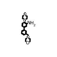 CN1CCN(c2ccc(-c3cccc(CN4CCOCC4)c3)cc2N)CC1